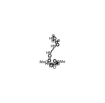 COc1cc(N2CCC(NCCCCCNc3cccc4c3CN(C3CCC(=O)NC3=O)C4=O)CC2)ccc1Nc1ncc(Cl)c(Nc2ccccc2P(=O)(OC)OC)n1